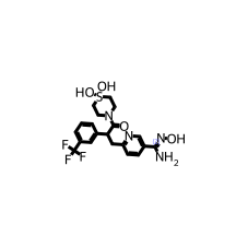 N/C(=N\O)c1ccc(CC(C(=O)N2CCS(O)(O)CC2)c2cccc(C(F)(F)F)c2)nc1